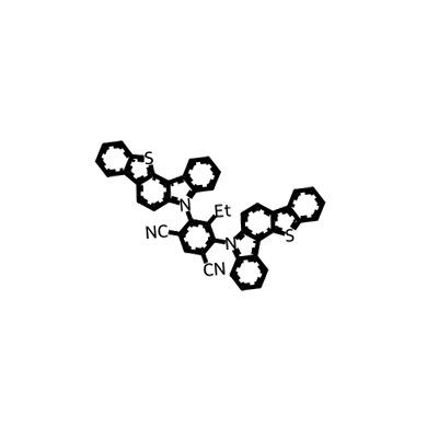 CCc1c(-n2c3ccccc3c3c4sc5ccccc5c4ccc32)c(C#N)cc(C#N)c1-n1c2ccccc2c2c3sc4ccccc4c3ccc21